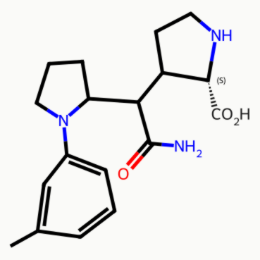 Cc1cccc(N2CCCC2C(C(N)=O)C2CCN[C@@H]2C(=O)O)c1